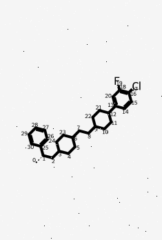 C[C@@H](CC1CCC(CCC2CCC(c3ccc(Cl)c(F)c3)CC2)CC1)c1ccccc1